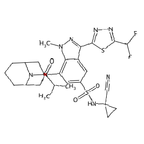 CC(C)C(=O)N1C2CCCC1CN(c1cc(S(=O)(=O)NC3(C#N)CC3)cc3c(-c4nnc(C(F)F)s4)nn(C)c13)C2